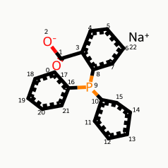 O=C([O-])c1ccccc1P(c1ccccc1)c1ccccc1.[Na+]